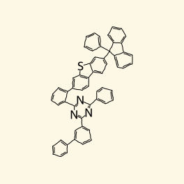 c1ccc(-c2cccc(-c3nc(-c4ccccc4)nc(-c4ccccc4-c4ccc5c(c4)sc4cc(C6(c7ccccc7)c7ccccc7-c7ccccc76)ccc45)n3)c2)cc1